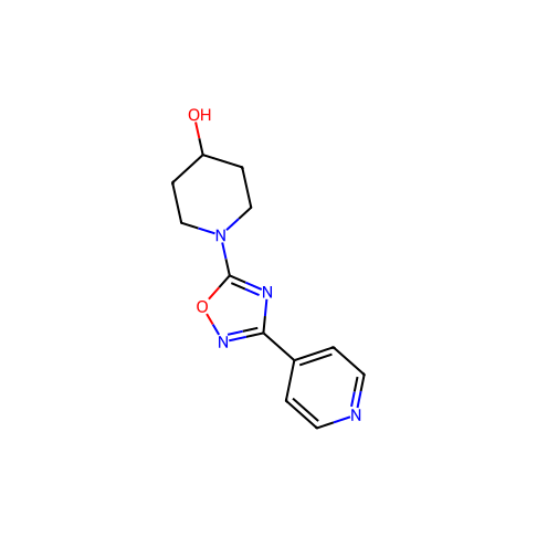 OC1CCN(c2nc(-c3ccncc3)no2)CC1